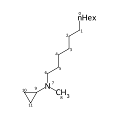 CCCCCCCCCCCCN(C)C1CC1